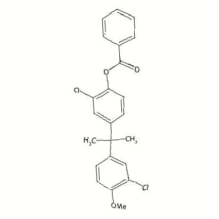 COc1ccc(C(C)(C)c2ccc(OC(=O)c3ccccc3)c(Cl)c2)cc1Cl